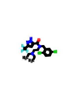 CCN(CC)CCN(Cc1cc(Cl)ccc1Cl)C(=O)c1cc(C(F)(F)F)n[nH]1